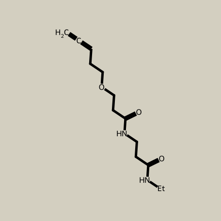 C=C=CCCOCCC(=O)NCCC(=O)NCC